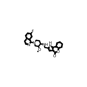 COC1CN(c2nccc3ccc(F)cc23)CCC1NCc1cc2c(=O)oc3ccccc3c2[nH]1